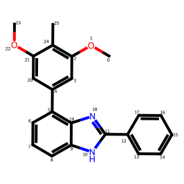 COc1cc(-c2cccc3[nH]c(-c4ccccc4)nc23)cc(OC)c1C